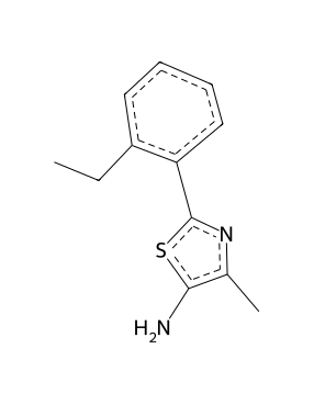 CCc1ccccc1-c1nc(C)c(N)s1